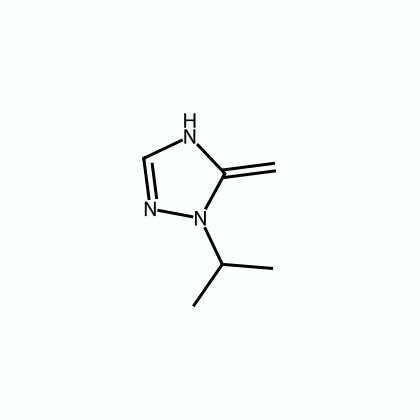 C=C1NC=NN1C(C)C